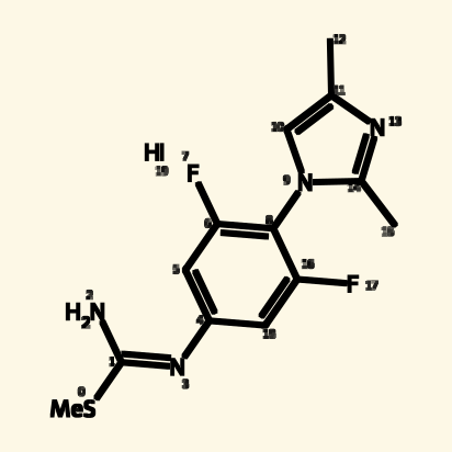 CSC(N)=Nc1cc(F)c(-n2cc(C)nc2C)c(F)c1.I